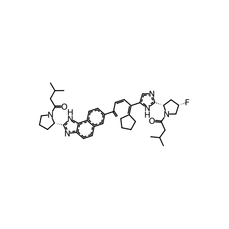 C=C(/C=C\C(=C1CCCC1)c1cnc([C@@H]2C[C@H](F)CN2C(=O)CC(C)C)[nH]1)c1ccc2c(ccc3nc([C@@H]4CCCN4C(=O)CC(C)C)[nH]c32)c1